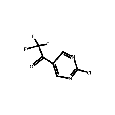 O=C(c1cnc(Cl)nc1)C(F)(F)F